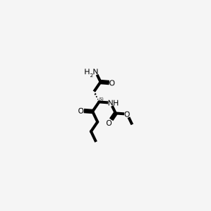 CCCC(=O)[C@H](CC(N)=O)NC(=O)OC